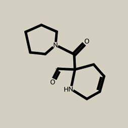 O=[C]C1(C(=O)N2CCCCC2)CC=CCN1